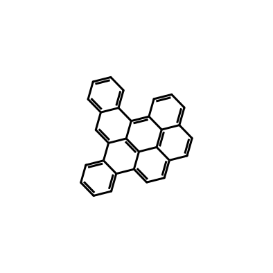 c1ccc2c(c1)cc1c3ccccc3c3ccc4ccc5cccc6c5c4c3c1c26